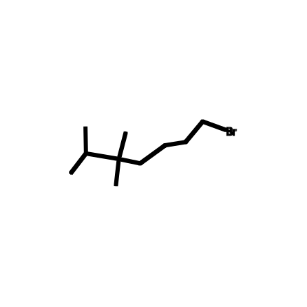 CC(C)C(C)(C)CCCCBr